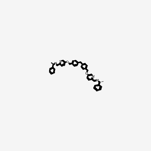 C[C@@H](/N=C/c1ccc(OCc2ccc(Cc3ccc(COc4ccc(/C=N/[C@H](C)c5ccccc5)nc4)cc3)cc2)cn1)c1ccccc1